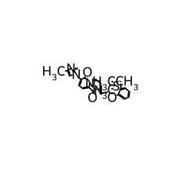 Cc1cn(-c2ccc3n(c2=O)CCN(CCOc2ccccc2[Si](C)(C)C)C3=O)cn1